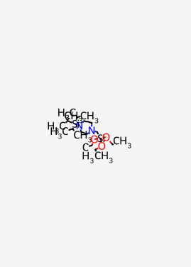 CCO[Si](CN1CCN([Si](C(C)C)(C(C)C)C(C)C)CC1)(OCC)OCC